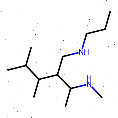 CCCNCC(C(C)NC)C(C)C(C)C